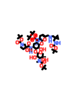 CN(C(=O)OC(C)(C)C)[C@@H]1[C@@H](O)[C@@H](O[C@@H]2[C@@H](O)[C@H](O[C@H]3OC(CNCC4(CNC(=O)OC(C)(C)C)CC4)=CC[C@H]3NC(=O)OC(C)(C)C)[C@@H](NC(=O)OC(C)(C)C)C[C@H]2NC(=O)C2(O)CCN(C(=O)OC(C)(C)C)C2)OC[C@]1(C)O